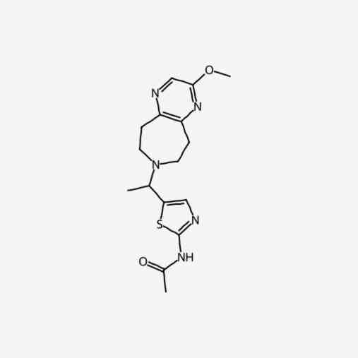 COc1cnc2c(n1)CCN(C(C)c1cnc(NC(C)=O)s1)CC2